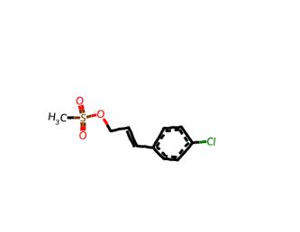 CS(=O)(=O)OCC=Cc1ccc(Cl)cc1